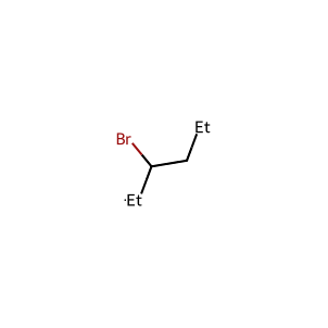 C[CH]C(Br)CCC